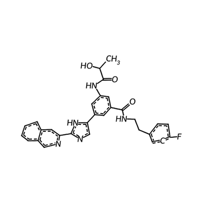 CC(O)C(=O)Nc1cc(C(=O)NCCc2ccc(F)cc2)cc(-c2cnc(-c3cc4ccccc4cn3)[nH]2)c1